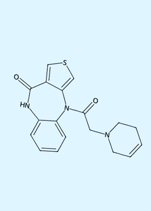 O=C1Nc2ccccc2N(C(=O)CN2CC=CCC2)c2cscc21